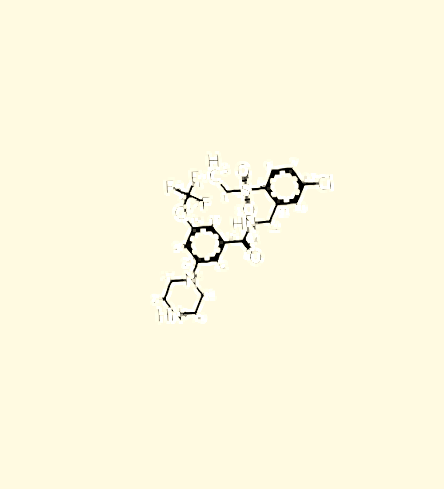 CCS(=O)(=O)c1ccc(Cl)cc1CNC(=O)c1cc(OC(F)(F)F)cc(N2CCNCC2)c1